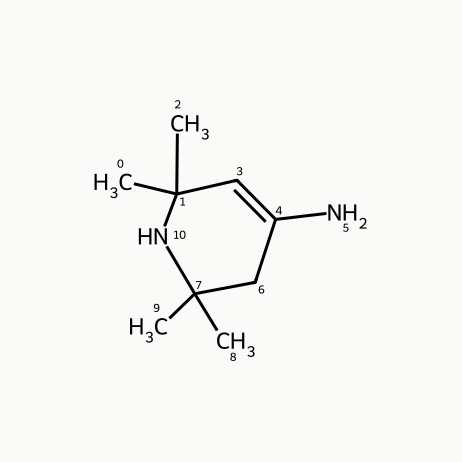 CC1(C)C=C(N)CC(C)(C)N1